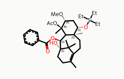 CC[Si](CC)(CC)O[C@H]1C[C@@H](OC)[C@](C)(OC(C)=O)C2[C@H](OC(=O)c3ccccc3)[C@]3(O)CCC(C)=C(CC[C@@]21C)C3(C)C